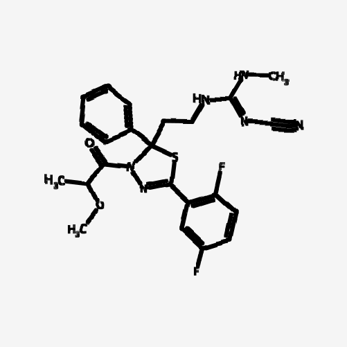 CNC(=NC#N)NCCC1(c2ccccc2)SC(c2cc(F)ccc2F)=NN1C(=O)C(C)OC